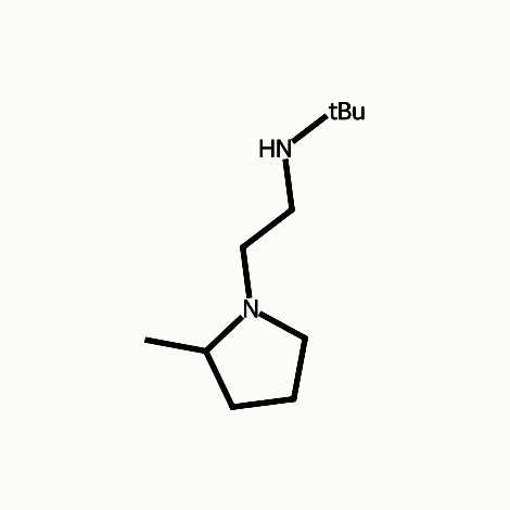 CC1CCCN1CCNC(C)(C)C